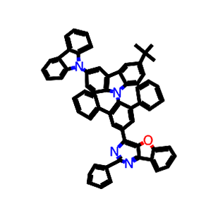 CC(C)(C)c1ccc2c(c1)c1cc(-n3c4ccccc4c4ccccc43)ccc1n2-c1c(-c2ccccc2)cc(-c2nc(-c3ccccc3)nc3c2oc2ccccc23)cc1-c1ccccc1